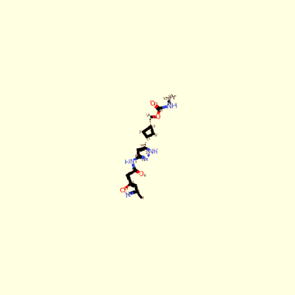 Cc1cc(CC(=O)Nc2cc([C@H]3C[C@@H](COC(=O)NC(C)C)C3)[nH]n2)on1